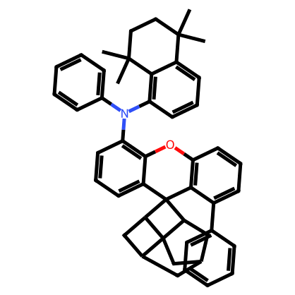 CC1(C)CCC(C)(C)c2c(N(c3ccccc3)c3cccc4c3Oc3cccc(-c5ccccc5)c3C43C4CC5CC6CC3C64C5)cccc21